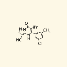 Cc1cc(Cl)cc(-c2[nH]c3c(C#N)cnn3c(=O)c2C(C)C)c1